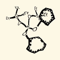 CC[Si](CC)(CC)[O][Ti]([O]c1ccccc1)([O]c1ccccc1)[O][Si](CC)(CC)CC